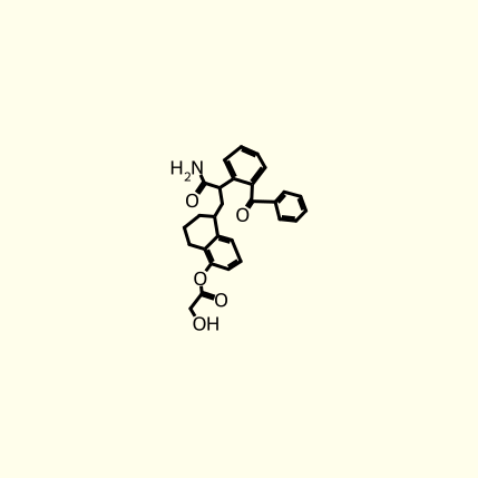 NC(=O)C(CC1CCCc2c(OC(=O)CO)cccc21)c1ccccc1C(=O)c1ccccc1